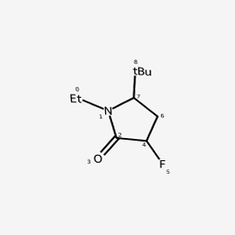 CCN1C(=O)C(F)CC1C(C)(C)C